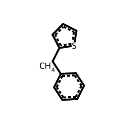 C.c1ccc(Cc2cccs2)cc1